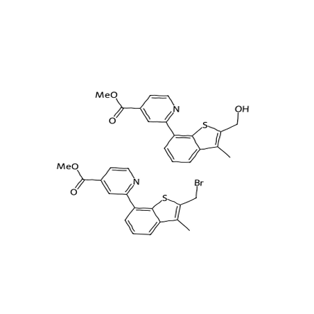 COC(=O)c1ccnc(-c2cccc3c(C)c(CBr)sc23)c1.COC(=O)c1ccnc(-c2cccc3c(C)c(CO)sc23)c1